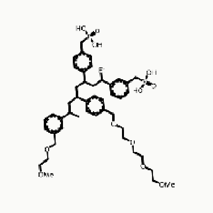 CCC(CC(CC(CC(C)c1cccc(COCCOC)c1)c1ccc(COCCOCCOCCOC)cc1)c1ccc(CP(=O)(O)O)cc1)c1cccc(CP(=O)(O)O)c1